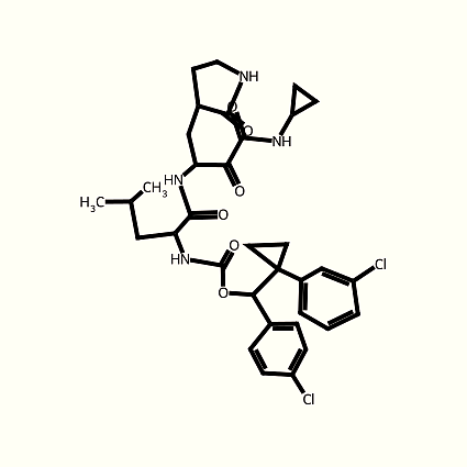 CC(C)CC(NC(=O)OC(c1ccc(Cl)cc1)C1(c2cccc(Cl)c2)CC1)C(=O)NC(CC1CCNC1=O)C(=O)C(=O)NC1CC1